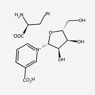 CC(C)C[C@H](N)C(=O)[O-].O=C(O)c1ccc[n+]([C@@H]2O[C@H](CO)[C@@H](O)[C@H]2O)c1